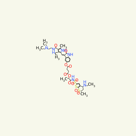 CCN[C@H]1C[C@H](C)S(=O)(=O)c2sc(S(=O)(=O)NC(=O)C(C)OC(=O)CCC(=O)Oc3ccc4c(c3)/C(=C/c3[nH]c(C)c(C(=O)NCCN(CC)CC)c3C)C(=O)N4)cc21